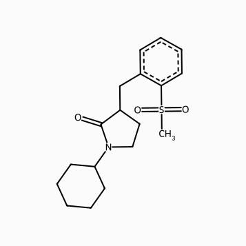 CS(=O)(=O)c1ccccc1CC1CCN(C2CCCCC2)C1=O